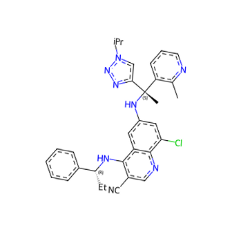 CC[C@@H](Nc1c(C#N)cnc2c(Cl)cc(N[C@](C)(c3cn(C(C)C)nn3)c3cccnc3C)cc12)c1ccccc1